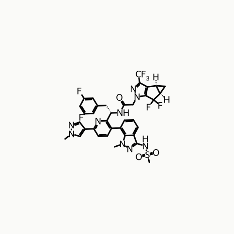 Cn1cc(-c2ccc(-c3cccc4c(NS(C)(=O)=O)nn(C)c34)c([C@H](Cc3cc(F)cc(F)c3)NC(=O)Cn3nc(C(F)(F)F)c4c3C(F)(F)[C@@H]3C[C@H]43)n2)cn1